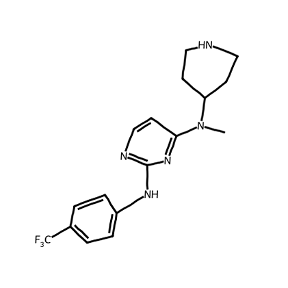 CN(c1ccnc(Nc2ccc(C(F)(F)F)cc2)n1)C1CCNCC1